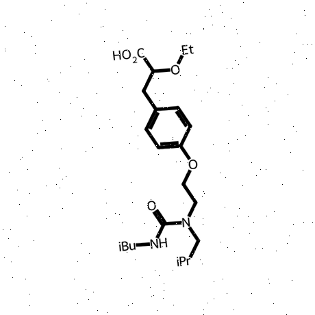 CCOC(Cc1ccc(OCCN(CC(C)C)C(=O)NC(C)CC)cc1)C(=O)O